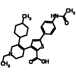 CCN1CCC(c2cc(-c3ccc(NC(C)=O)cc3)sc2C(=O)O)=C(C2CCC(C)CC2)C1